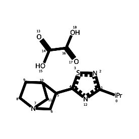 CC(C)c1nsc(C2CN3CCC2C3)n1.O=C(O)C(=O)O